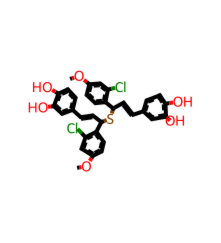 COc1ccc(C(C=Cc2ccc(O)c(O)c2)SC(C=Cc2ccc(O)c(O)c2)c2ccc(OC)cc2Cl)c(Cl)c1